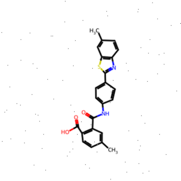 Cc1ccc(C(=O)O)c(C(=O)Nc2ccc(-c3nc4ccc(C)cc4s3)cc2)c1